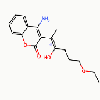 CCOCCC/C(O)=C(\C)c1c(N)c2ccccc2oc1=O